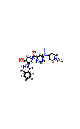 CC(=O)N1CCC(Nc2cc(C(=O)N3C[C@@H](N4CCc5ccccc5C4)[C@@H](O)C3)ncn2)CC1